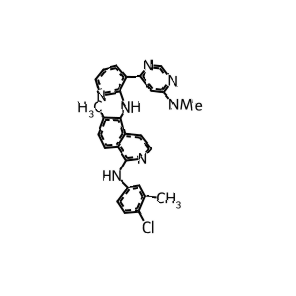 CNc1cc(-c2cccnc2Nc2c(C)ccc3c(Nc4ccc(Cl)c(C)c4)nccc23)ncn1